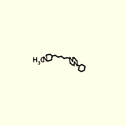 CN1CCC(CCCCCN2CCN(C3CCCCC3)CC2)CC1